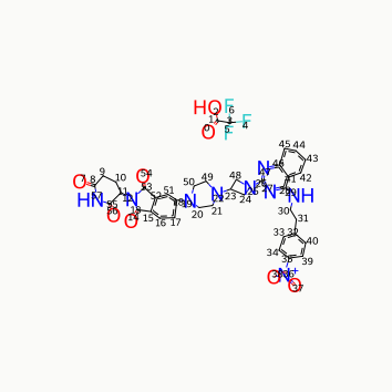 O=C(O)C(F)(F)F.O=C1CCC(N2C(=O)c3ccc(N4CCN(C5CN(c6nc(NCCc7ccc([N+](=O)[O-])cc7)c7ccccc7n6)C5)CC4)cc3C2=O)C(=O)N1